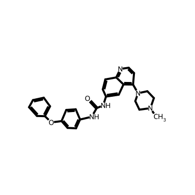 CN1CCN(c2ccnc3ccc(NC(=O)Nc4ccc(Oc5ccccc5)cc4)cc23)CC1